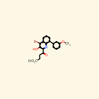 CCOC(=O)CCC(=O)c1nc2c(-c3cccc(OC(F)(F)F)c3)cccc2c(Br)c1O